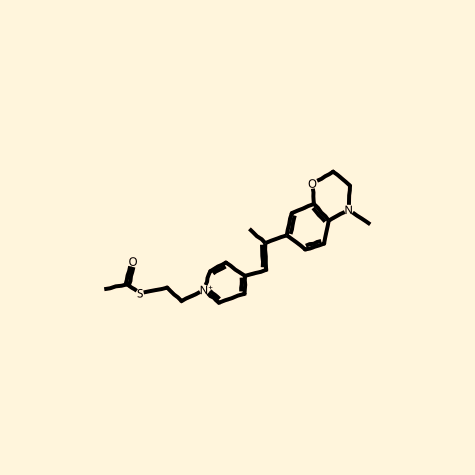 CC(=O)SCC[n+]1ccc(/C=C(\C)c2ccc3c(c2)OCCN3C)cc1